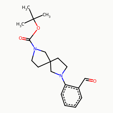 CC(C)(C)OC(=O)N1CCC2(CCN(c3ccccc3C=O)C2)C1